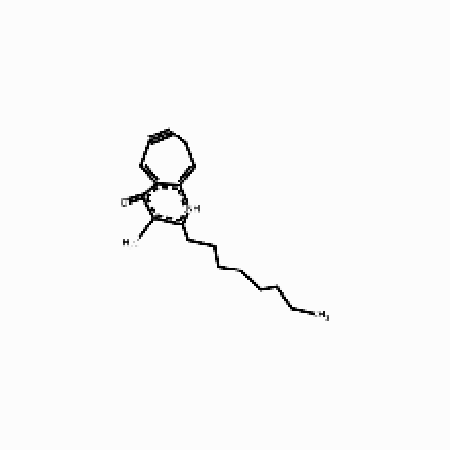 CCCCCCCCc1[nH]c2c(c(=O)c1C)=CC#CCC=2